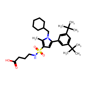 Cc1c(S(=O)(=O)NCCCC(=O)O)cc(-c2cc(C(C)(C)C)cc(C(C)(C)C)c2)n1CC1CCCCC1